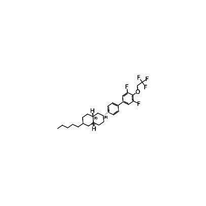 CCCCCC1CC[C@@H]2C[C@H](c3ccc(-c4cc(F)c(OCC(F)(F)F)c(F)c4)cc3)CC[C@@H]2C1